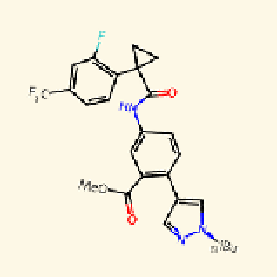 CC[C@H](C)n1cc(-c2ccc(NC(=O)C3(c4ccc(C(F)(F)F)cc4F)CC3)cc2C(=O)OC)cn1